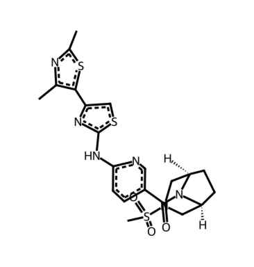 Cc1nc(C)c(-c2csc(Nc3ccc(C(=O)N4[C@@H]5CC[C@H]4CN(S(C)(=O)=O)C5)cn3)n2)s1